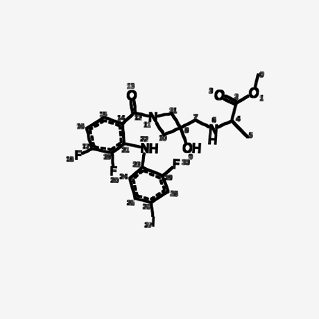 COC(=O)C(C)NCC1(O)CN(C(=O)c2ccc(F)c(F)c2Nc2ccc(I)cc2F)C1